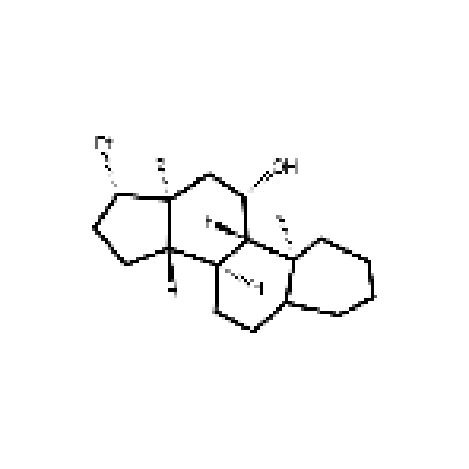 CC[C@H]1CC[C@H]2[C@@H]3CCC4CCCC[C@]4(C)[C@@]3(F)[C@@H](O)C[C@]12C